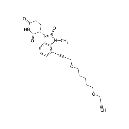 C#CCOCCCCCOCC#Cc1cccc2c1n(C)c(=O)n2C1CCC(=O)NC1=O